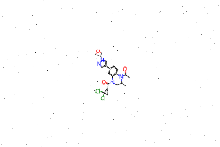 CC(=O)N1c2ccc(-c3cnn(C4COC4)c3)cc2N(C(=O)[C@@H]2CC2(Cl)Cl)C[C@@H]1C